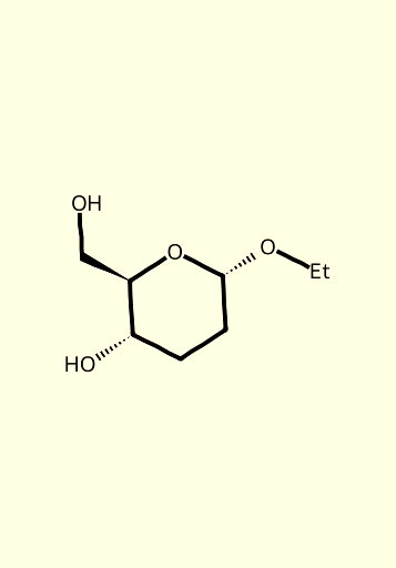 CCO[C@@H]1CC[C@H](O)[C@@H](CO)O1